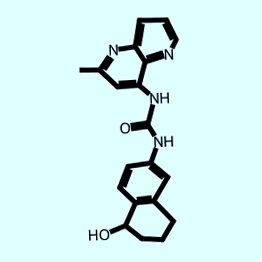 Cc1cc(NC(=O)Nc2ccc3c(c2)CCCC3O)c2ncccc2n1